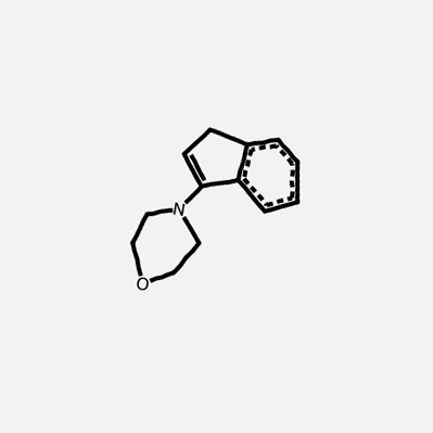 C1=C(N2CCOCC2)c2ccccc2C1